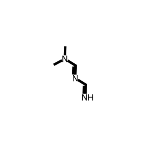 CN(C)C=NC=N